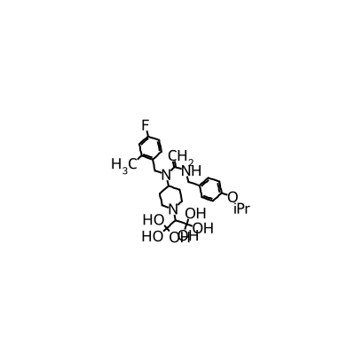 C=C(NCc1ccc(OC(C)C)cc1)N(Cc1ccc(F)cc1C)C1CCN(C(C(O)(O)O)C(O)(O)O)CC1